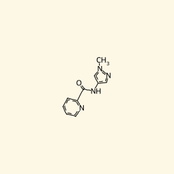 Cn1cc(NC(=O)c2ccccn2)cn1